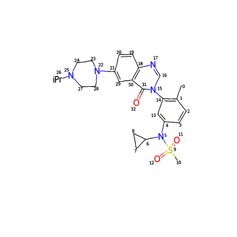 Cc1ccc(N(C2CC2)S(C)(=O)=O)cc1-n1cnc2ccc(N3CCN(C(C)C)CC3)cc2c1=O